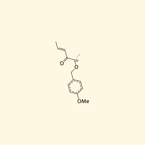 CC=CC(=O)[C@H](C)OCc1ccc(OC)cc1